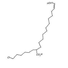 CCCCCCCC/C=C\CCCCCCCCCCC(CCCCCCCl)C(=O)O